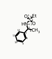 CCS(=O)(=O)NC(C)c1ccccc1